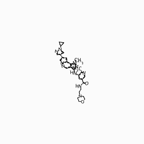 Cc1ncc(C(=O)NCCN2CCOCC2)cc1Nc1nn(C)c2c1cnn1cc(-c3cnn(C4CC4)c3)cc21